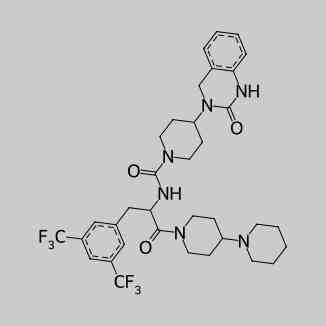 O=C(NC(Cc1cc(C(F)(F)F)cc(C(F)(F)F)c1)C(=O)N1CCC(N2CCCCC2)CC1)N1CCC(N2Cc3ccccc3NC2=O)CC1